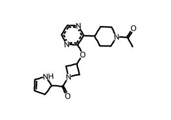 CC(=O)N1CCC(c2nccnc2OC2CN(C(=O)C3CC=CN3)C2)CC1